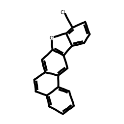 Clc1cccc2c1oc1cc3ccc4ccccc4c3cc12